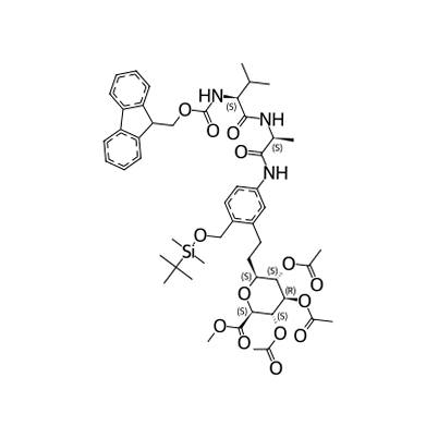 COC(=O)[C@H]1O[C@@H](CCc2cc(NC(=O)[C@H](C)NC(=O)[C@@H](NC(=O)OCC3c4ccccc4-c4ccccc43)C(C)C)ccc2CO[Si](C)(C)C(C)(C)C)[C@H](OC(C)=O)[C@@H](OC(C)=O)[C@@H]1OC(C)=O